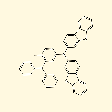 Cc1ccc(N(c2ccc3c(c2)sc2ccccc23)c2ccc3c(c2)sc2ccccc23)cc1N(c1ccccc1)c1ccccc1